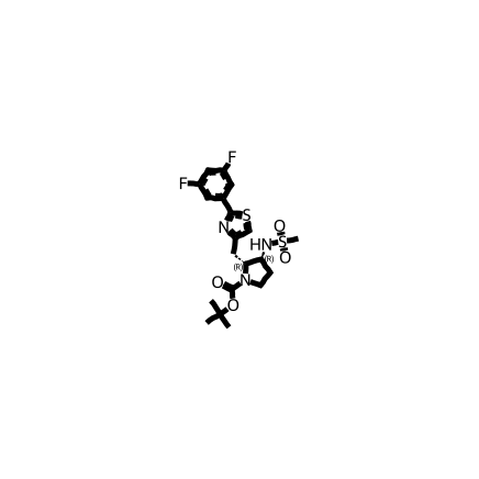 CC(C)(C)OC(=O)N1CC[C@@H](NS(C)(=O)=O)[C@H]1Cc1csc(-c2cc(F)cc(F)c2)n1